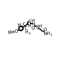 COc1ccc(C(C)(C)c2csc(NC(=O)NCCCC(N)=O)n2)cc1